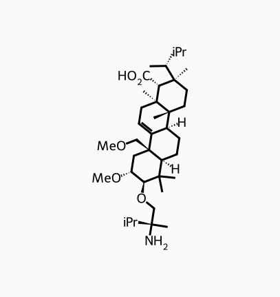 COC[C@]12C[C@@H](OC)[C@H](OC[C@](C)(N)C(C)C)C(C)(C)[C@@H]1CC[C@H]1C2=CC[C@@]2(C)[C@H](C(=O)O)[C@@](C)([C@H](C)C(C)C)CC[C@]12C